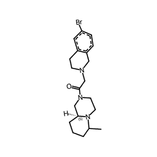 CC1CCC[C@H]2CN(C(=O)CN3CCc4cc(Br)ccc4C3)CCN12